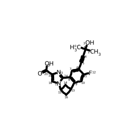 CC(C)(O)C#Cc1cc2c(cc1F)C1CC(C1)n1cc(C(=O)O)nc1-2